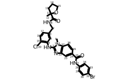 Cn1c(Nc2cc(CNC(=O)C3(C)CCCO3)ccc2Cl)nc2cc(C(=O)Nc3ccc(Br)cc3)ccc21